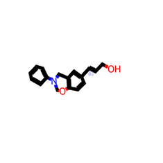 OC/C=C/c1ccc2c(c1)CN(c1ccccc1)CO2